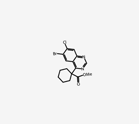 COC(=O)C1(c2ncnc3cc(Cl)c(Br)cc23)CCCCC1